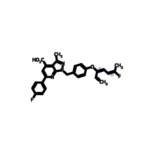 C=C/C(=C\C=C(/C)F)Oc1ccc(Cn2nc(C)c3c(C(=O)O)cc(-c4ccc(F)cc4)nc32)cc1